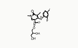 Cc1c(Nc2ccc(I)cc2F)c(C(=O)NOCC(O)CO)cn(C)c1=O